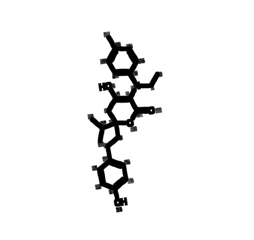 CCN(C1=C(O)CC(CCc2ccc(O)cc2)(C(C)C)OC1=O)c1ccc(C)cc1